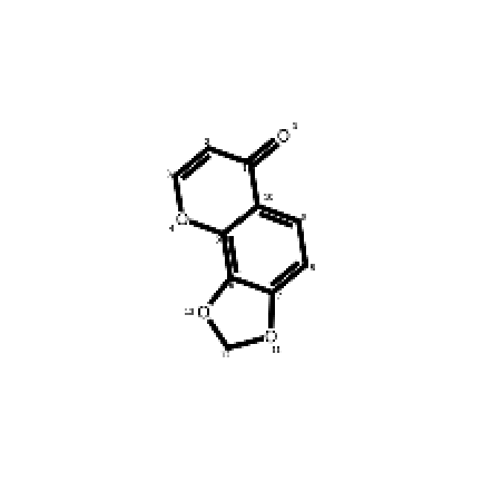 O=c1ccoc2c3c(ccc12)OCO3